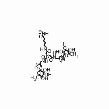 CCNC(=O)CCCCCNC(=O)CN(CC(=O)NCc1cn([C@H]2O[C@@H](C)[C@@H](O)[C@@H](O)[C@@H]2O)nn1)CC(=O)NCc1cn([C@H]2O[C@@H](C)[C@@H](O)[C@@H](O)[C@@H]2O)nn1